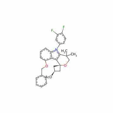 CC(=O)O[C@H]1C[C@]2(C1)OCC(C)(C)c1c2c2c(OCc3ccccc3)cccc2n1-c1ccc(F)c(F)c1